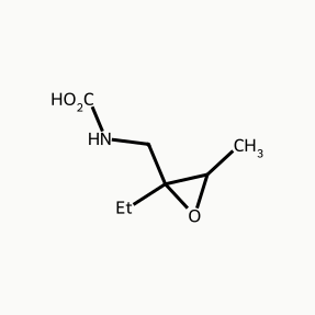 CCC1(CNC(=O)O)OC1C